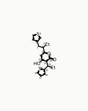 CCC(Cc1ccsc1)c1cc(O)c(C(CC)c2cccs2)c(=O)o1